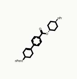 CCCCCC1CC=C(c2ccc(C(=O)O[C@H]3CC[C@H](CCC)CC3)cc2)CC1